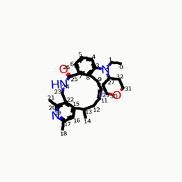 CCN(c1cccc2c1C/C=C\CC(C)c1cc(C)nc(C)c1CNC2=O)C1CCOCC1